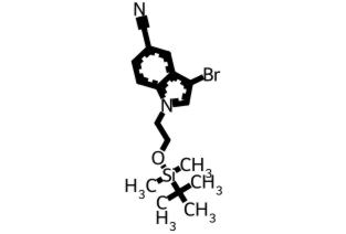 CC(C)(C)[Si](C)(C)OCCn1cc(Br)c2cc(C#N)ccc21